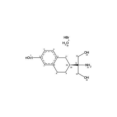 Br.CCCCCCCCc1ccc2c(c1)CC[C@H](C(N)(CO)CO)C2.O